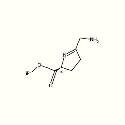 CC(C)OC(=O)[C@@H]1CCC(CN)=N1